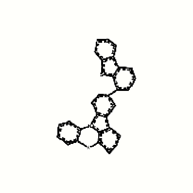 c1ccc2c(c1)Sc1cccc3c4cc(-c5cccc6c5sc5ccccc56)ccc4n-2c13